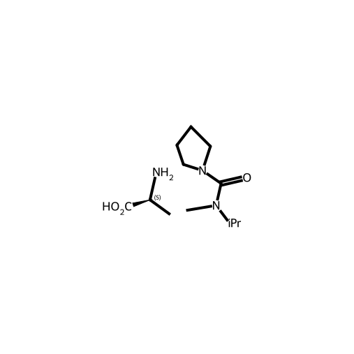 CC(C)N(C)C(=O)N1CCCC1.C[C@H](N)C(=O)O